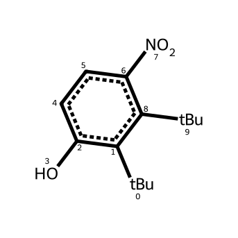 CC(C)(C)c1c(O)ccc([N+](=O)[O-])c1C(C)(C)C